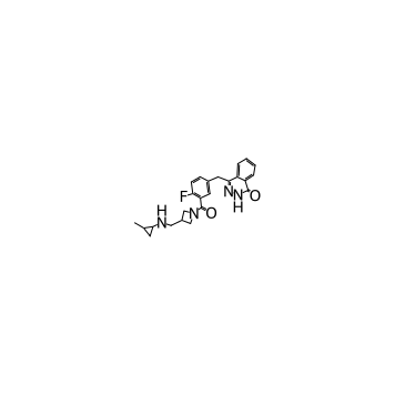 CC1CC1NCC1CN(C(=O)c2cc(Cc3n[nH]c(=O)c4ccccc34)ccc2F)C1